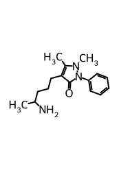 Cc1c(CCCC(C)N)c(=O)n(-c2ccccc2)n1C